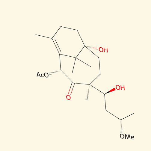 CO[C@@H](C)C[C@H](O)[C@]1(C)CC[C@]2(O)CCC(C)=C([C@@H](OC(C)=O)C1=O)C2(C)C